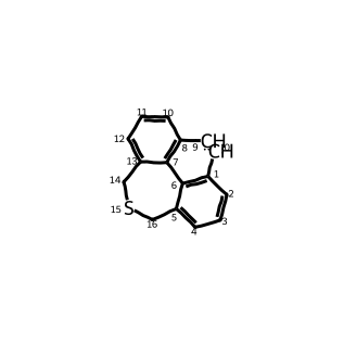 [CH]c1cccc2c1-c1c([CH])cccc1CSC2